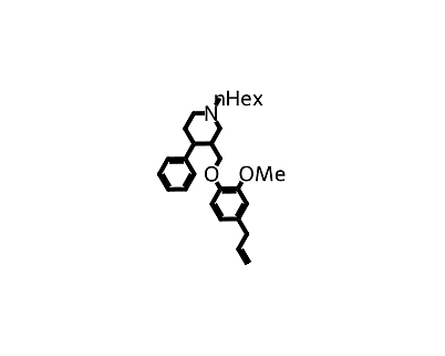 C=CCc1ccc(OCC2CN(CCCCCC)CCC2c2ccccc2)c(OC)c1